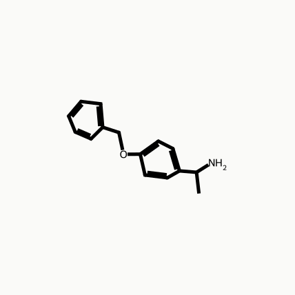 CC(N)c1ccc(OCc2ccccc2)cc1